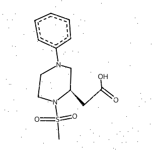 CS(=O)(=O)N1CCN(c2ccccc2)C[C@H]1CC(=O)O